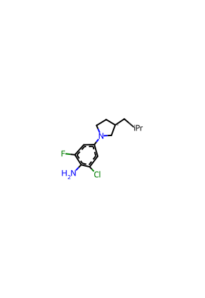 CC(C)C[C]1CCN(c2cc(F)c(N)c(Cl)c2)C1